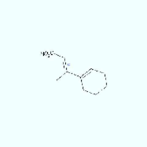 C/C(=C\C(=O)O)C1=CCCCC1